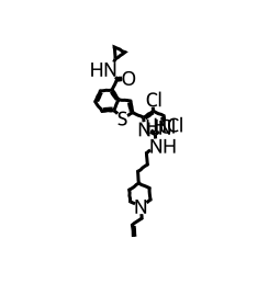 C=CCN1CCC(CCCNc2ncc(Cl)c(-c3cc4c(C(=O)NC5CC5)cccc4s3)n2)CC1.Cl.Cl